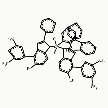 CCc1ccc2c(c1-c1cc(C(F)(F)F)cc(C(F)(F)F)c1)C=C(c1ccccc1)[CH]2[Zr]([Cl])([Cl])([c]1cccc2c1[SiH2]c1ccccc1-2)[CH]1C(c2ccccc2)=Cc2c1ccc(CC)c2-c1cc(C(F)(F)F)cc(C(F)(F)F)c1